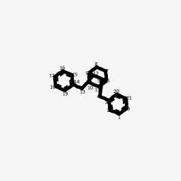 c1ccc(CC2C3CCC(CC3)C2Cc2ccccc2)cc1